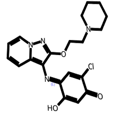 O=C1C=C(O)/C(=N/c2c(OCCN3CCCCC3)nn3ccccc23)C=C1Cl